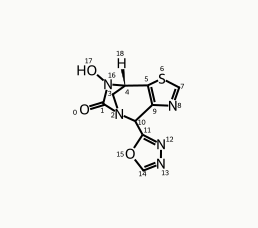 O=C1N2C[C@@H](c3scnc3C2c2nnco2)N1O